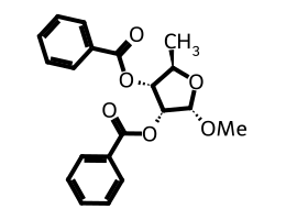 CO[C@H]1O[C@H](C)[C@@H](OC(=O)c2ccccc2)[C@H]1OC(=O)c1ccccc1